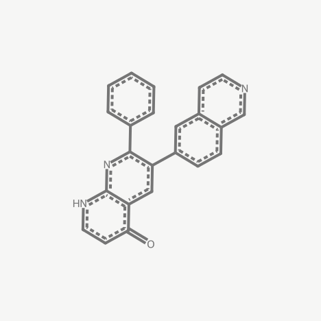 O=c1cc[nH]c2nc(-c3ccccc3)c(-c3ccc4cnccc4c3)cc12